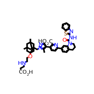 Cc1c(-c2ccc(-c3ccc4c(c3)N(C(=O)Nc3nc5ccccc5s3)CCC4)nc2C(=O)O)cnn1CC12CC3(C)CC(C)(C1)CC(OCCNCCC(=O)O)(C3)C2